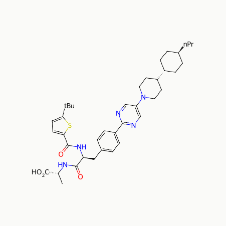 CCC[C@H]1CC[C@H](C2CCN(c3cnc(-c4ccc(C[C@H](NC(=O)c5ccc(C(C)(C)C)s5)C(=O)N[C@H](C)C(=O)O)cc4)nc3)CC2)CC1